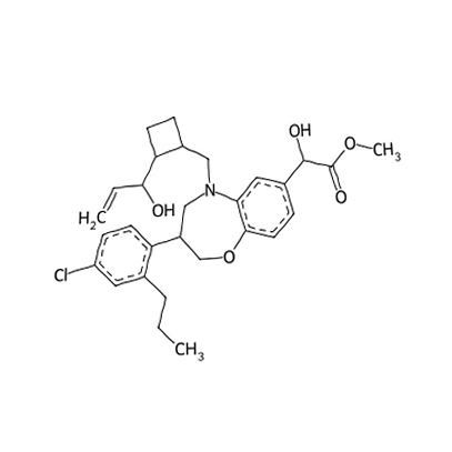 C=CC(O)C1CCC1CN1CC(c2ccc(Cl)cc2CCC)COc2ccc(C(O)C(=O)OC)cc21